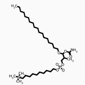 CCCCCCCCCCCCCCCCCCOC(OC(N)=O)C(C)COP(=O)([O-])OCCCCCCCCCC[N+](C)(C)C